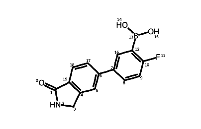 O=C1NCc2cc(-c3ccc(F)c(B(O)O)c3)ccc21